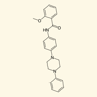 COc1ccccc1C(=O)Nc1ccc(N2CCN(c3[c]cccc3)CC2)cc1